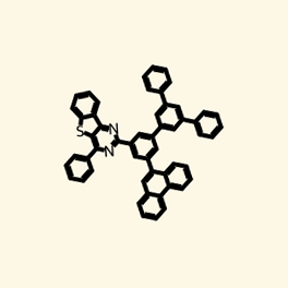 c1ccc(-c2cc(-c3ccccc3)cc(-c3cc(-c4nc(-c5ccccc5)c5sc6ccccc6c5n4)cc(-c4cc5ccccc5c5ccccc45)c3)c2)cc1